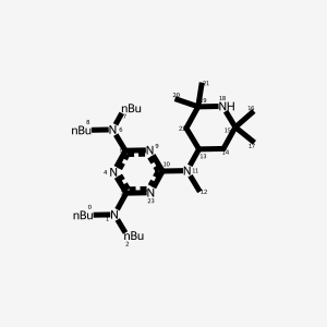 CCCCN(CCCC)c1nc(N(CCCC)CCCC)nc(N(C)C2CC(C)(C)NC(C)(C)C2)n1